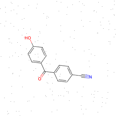 N#Cc1ccc(C(=O)c2ccc(O)cc2)cc1